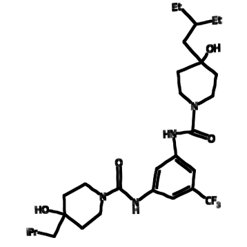 CCC(CC)CC1(O)CCN(C(=O)Nc2cc(NC(=O)N3CCC(O)(CC(C)C)CC3)cc(C(F)(F)F)c2)CC1